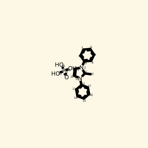 CC1N(c2ccccc2)C=CN1c1ccccc1.O=P(O)(O)O